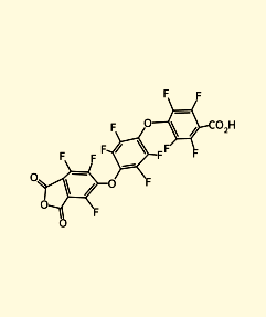 O=C(O)c1c(F)c(F)c(Oc2c(F)c(F)c(Oc3c(F)c(F)c4c(c3F)C(=O)OC4=O)c(F)c2F)c(F)c1F